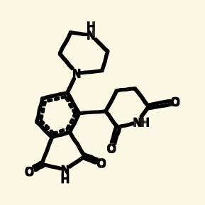 O=C1CCC(c2c(N3CCNCC3)ccc3c2C(=O)NC3=O)C(=O)N1